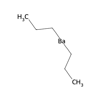 CC[CH2][Ba][CH2]CC